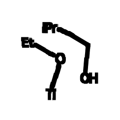 CC(C)CO.CC[O][Ti]